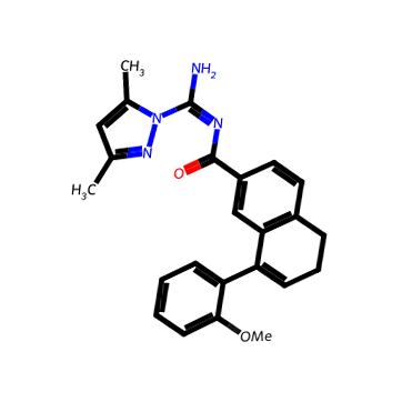 COc1ccccc1C1=CCCc2ccc(C(=O)/N=C(/N)n3nc(C)cc3C)cc21